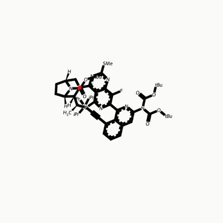 CSc1nc2c3c(nc(-c4nc(N(C(=O)OC(C)(C)C)C(=O)OC(C)(C)C)cc5cccc(C#C[Si](C(C)C)(C(C)C)C(C)C)c45)c(F)c3n1)O[C@@H](C)[C@@H]1[C@@H]3CC[C@H](CN21)N3C(=O)OC(C)(C)C